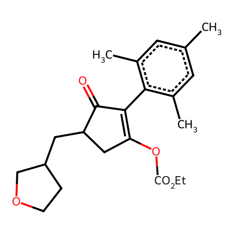 CCOC(=O)OC1=C(c2c(C)cc(C)cc2C)C(=O)C(CC2CCOC2)C1